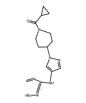 C=N/C(=N\CCCC)Nc1cnn(C2CCN(C(=O)C3CC3)CC2)c1